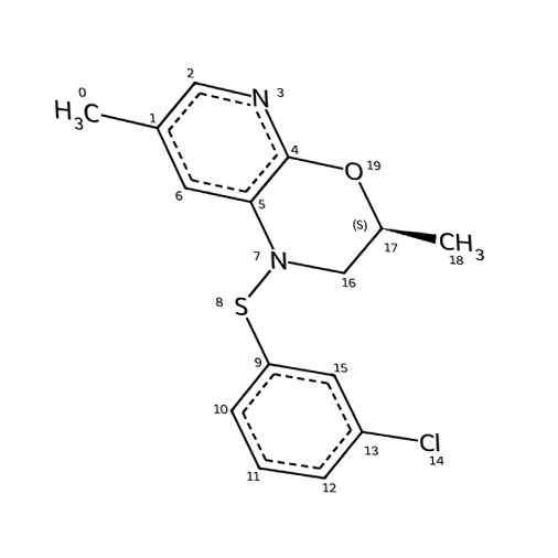 Cc1cnc2c(c1)N(Sc1cccc(Cl)c1)C[C@H](C)O2